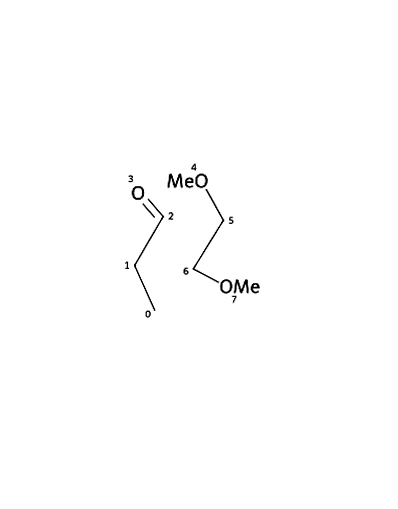 CCC=O.COCCOC